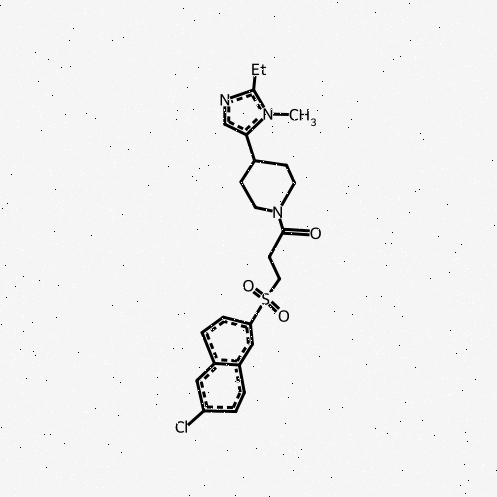 CCc1ncc(C2CCN(C(=O)CCS(=O)(=O)c3ccc4cc(Cl)ccc4c3)CC2)n1C